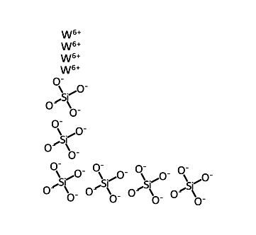 [O-][Si]([O-])([O-])[O-].[O-][Si]([O-])([O-])[O-].[O-][Si]([O-])([O-])[O-].[O-][Si]([O-])([O-])[O-].[O-][Si]([O-])([O-])[O-].[O-][Si]([O-])([O-])[O-].[W+6].[W+6].[W+6].[W+6]